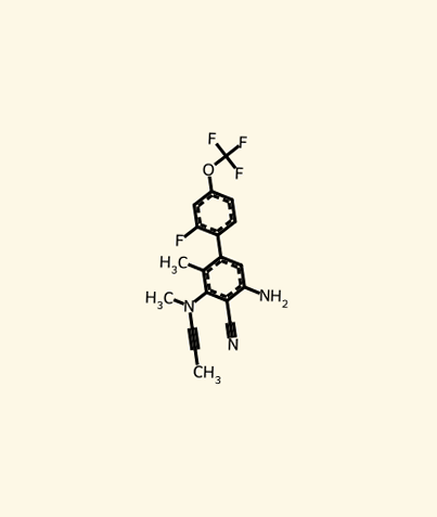 CC#CN(C)c1c(C)c(-c2ccc(OC(F)(F)F)cc2F)cc(N)c1C#N